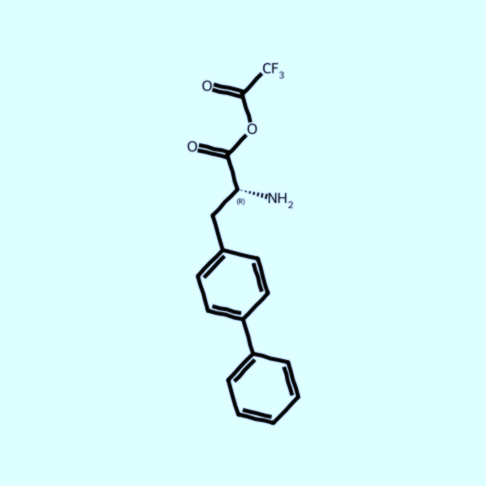 N[C@H](Cc1ccc(-c2ccccc2)cc1)C(=O)OC(=O)C(F)(F)F